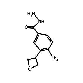 NNC(=O)c1ccc(C(F)(F)F)c(C2COC2)c1